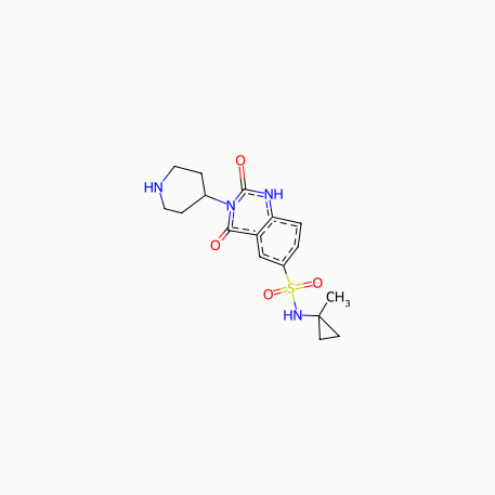 CC1(NS(=O)(=O)c2ccc3[nH]c(=O)n(C4CCNCC4)c(=O)c3c2)CC1